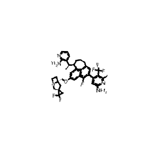 Cc1nc(N)cc(-c2cc3c4c(cc(OC[C@@]56CCN5C[C@]5(CC5(F)F)C6)cc4c2F)C([C@@H](C)c2cccnc2N)CCC3)c1C(F)(F)F